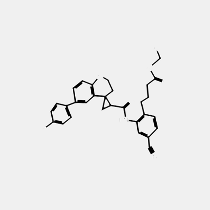 CCOC(=O)CCCc1ccc(C#N)cc1NC(=O)C1CC12CCOc1ccc(-c3ccc(F)cc3)cc12